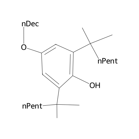 CCCCCCCCCCOc1cc(C(C)(C)CCCCC)c(O)c(C(C)(C)CCCCC)c1